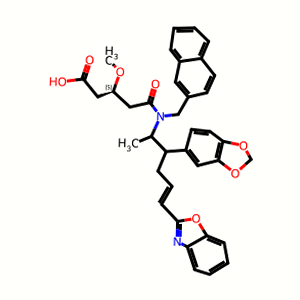 CO[C@H](CC(=O)O)CC(=O)N(Cc1ccc2ccccc2c1)C(C)C(CC=Cc1nc2ccccc2o1)c1ccc2c(c1)OCO2